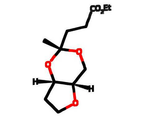 CCOC(=O)CC[C@]1(C)OC[C@H]2OCC[C@H]2O1